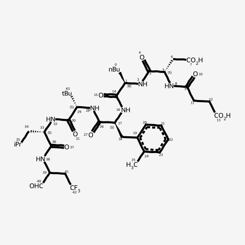 CCCC[C@@H](NC(=O)[C@H](CC(=O)O)NC(=O)CCC(=O)O)C(=O)N[C@@H](Cc1ccccc1C)C(=O)N[C@H](C(=O)N[C@@H](CC(C)C)C(=O)NC(C=O)CC(F)(F)F)C(C)(C)C